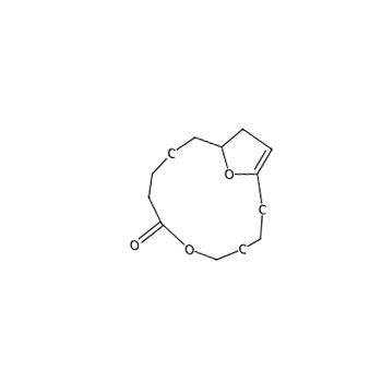 O=C1CCCCC2CC=C(CCCCO1)O2